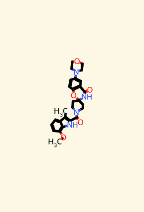 COc1cccc2c(C)c(C(=O)N3CCC4(CC3)NC(=O)c3cc(N5CCOCC5)ccc3O4)[nH]c12